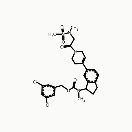 CN(C(=O)OCc1cc(Cl)cc(Cl)c1)C1CCc2ccc(C3=CCN(C(=O)CN(C)S(C)(=O)=O)CC3)cc21